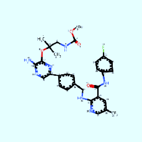 CC(C)(C)OC(=O)NCC(C)(C)Oc1nc(-c2ccc(CNc3ncc(C(F)(F)F)cc3C(=O)Nc3ccc(F)cc3)cc2)cnc1N